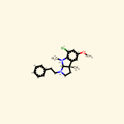 COc1cc(Br)c2c(c1)[C@]1(C)CCN(CCc3ccccc3)C1N2C